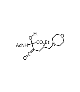 CCOC(=O)C(NC(C)=O)(OCC)C(=C=O)CCCN1CCOCC1